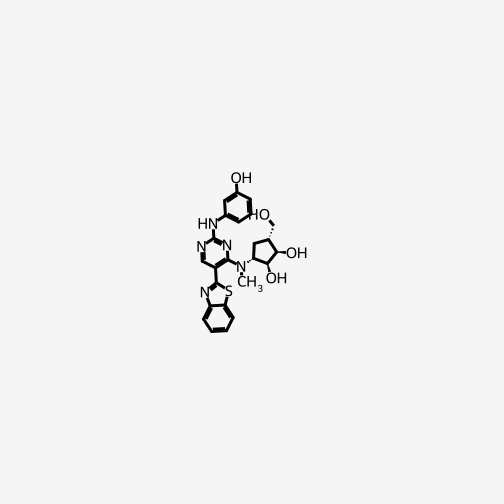 CN(c1nc(Nc2cccc(O)c2)ncc1-c1nc2ccccc2s1)[C@@H]1C[C@H](CO)[C@@H](O)[C@H]1O